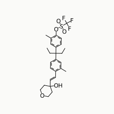 CCC(CC)(c1ccc(C=CC2(O)CCOCC2)c(C)c1)c1ccc(OS(=O)(=O)C(F)(F)F)c(C)c1